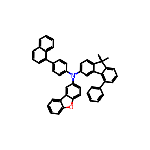 CC1(C)c2ccc(N(c3ccc(-c4cccc5ccccc45)cc3)c3ccc4oc5ccccc5c4c3)cc2-c2c(-c3ccccc3)cccc21